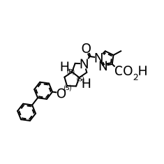 Cc1cn(C(=O)N2C[C@H]3C[C@H](Oc4cccc(-c5ccccc5)c4)C[C@H]3C2)nc1C(=O)O